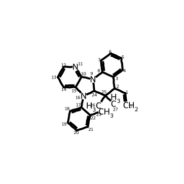 C=CC1c2ccccc2N2c3ncccc3N(c3ccccc3C)C2C1(C)C